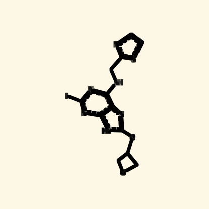 Ic1nc(NCc2nccs2)c2nc(OC3COC3)[nH]c2n1